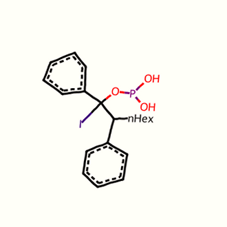 CCCCCCC(c1ccccc1)C(I)(OP(O)O)c1ccccc1